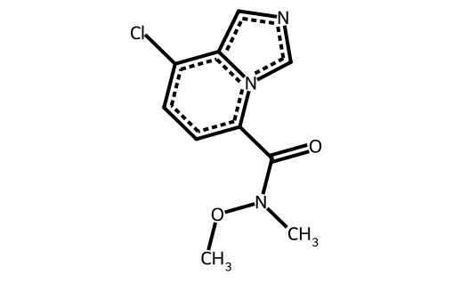 CON(C)C(=O)c1ccc(Cl)c2cncn12